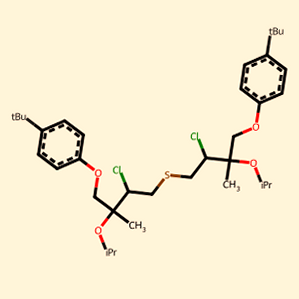 CC(C)OC(C)(COc1ccc(C(C)(C)C)cc1)C(Cl)CSCC(Cl)C(C)(COc1ccc(C(C)(C)C)cc1)OC(C)C